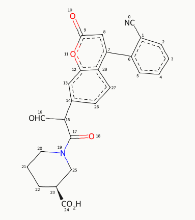 N#Cc1ccccc1-c1cc(=O)oc2cc(C(C=O)C(=O)N3CCC[C@H](C(=O)O)C3)ccc12